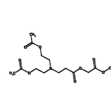 COC(=O)COC(=O)CCN(CCOC(C)=O)CCOC(C)=O